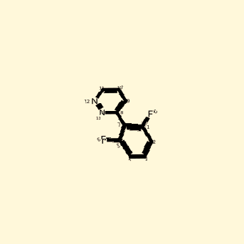 Fc1cccc(F)c1-c1cc[c]nn1